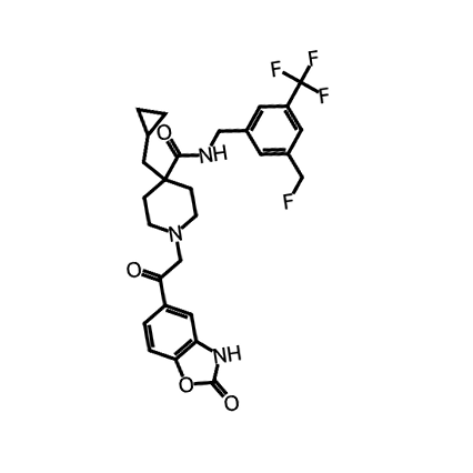 O=C(CN1CCC(CC2CC2)(C(=O)NCc2cc(CF)cc(C(F)(F)F)c2)CC1)c1ccc2oc(=O)[nH]c2c1